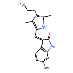 COc1ccc2c(c1)NC(=O)C2=Cc1[nH]c(C)c(CCC(=O)O)c1C